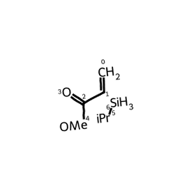 C=CC(=O)OC.CC(C)[SiH3]